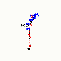 C#CCOCCOCCOCCOCCOCCOCCNC(=O)CC[C@H](NC(=O)c1ccc(NCc2cnc3nc(N)[nH]c(=O)c3n2)cc1)C(=O)O